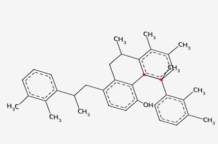 Cc1cccc(C(C)Cc2ccc(O)c(CC(C)c3cccc(C)c3C)c2CC(C)c2cccc(C)c2C)c1C